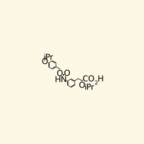 CC(C)Oc1ccc(COC(=O)Nc2cccc(CC(OC(C)C)C(=O)O)c2)cc1